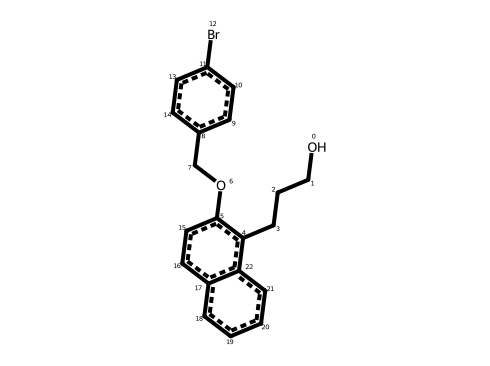 OCCCc1c(OCc2ccc(Br)cc2)ccc2ccccc12